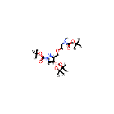 CN(CCOCc1nn(C(=O)OC(C)(C)C)cc1B1OC(C)(C)C(C)(C)O1)C(=O)OC(C)(C)C